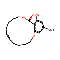 COc1cc(O)c2c(c1)OCCCC/C=C\CCCCOC2=O